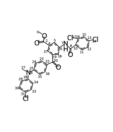 COC(=O)c1cc(NC(=O)c2ccc(Cl)cc2Cl)cc(C(=O)c2ccc(N(C)c3ccc(Cl)cc3)cc2)c1